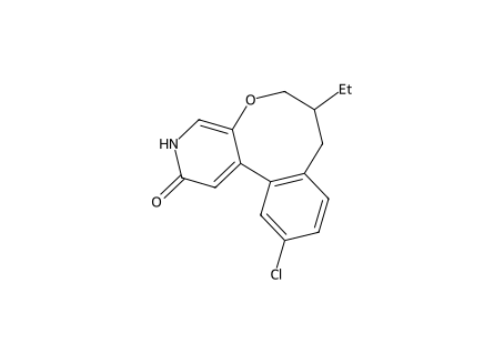 CCC1COc2c[nH]c(=O)cc2-c2cc(Cl)ccc2C1